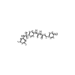 Cc1cc(C)nc(NS(=O)(=O)c2ccc(NC(=S)NC(=O)/C=C/c3ccc(Cl)cc3)cc2)n1